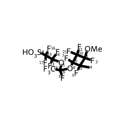 COC1(F)C(C)(F)C(F)(OC(F)(OC(F)(F)C(F)(F)S(=O)(=O)O)C(F)(F)F)C1(F)F